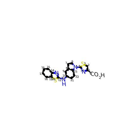 O=C(O)c1csc(-n2ccc3cc(Nc4nc5ccccc5s4)ccc32)n1